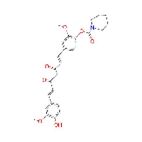 COc1cc(/C=C/C(=O)CC(=O)/C=C/c2ccc(OC(=O)N3CCCCC3)c(OC)c2)ccc1O